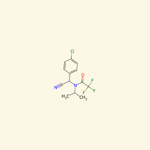 CC(C)N(C(=O)C(F)(F)F)C(C#N)c1ccc(Cl)cc1